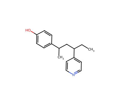 CCC(CC(C)c1ccc(O)cc1)c1ccncc1